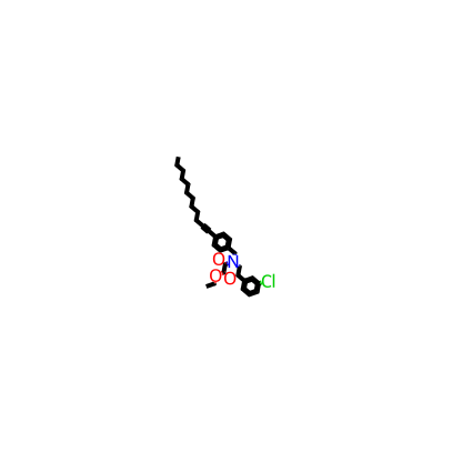 CCCCCCCCCCC#Cc1ccc(CN(CCc2cccc(Cl)c2)C(=O)C(=O)OCC)cc1